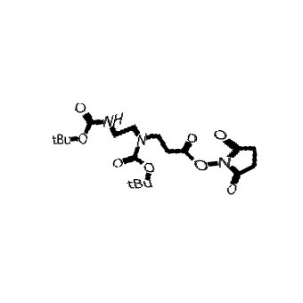 CC(C)(C)OC(=O)NCCN(CCC(=O)ON1C(=O)CCC1=O)C(=O)OC(C)(C)C